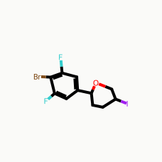 Fc1cc(C2CCC(I)CO2)cc(F)c1Br